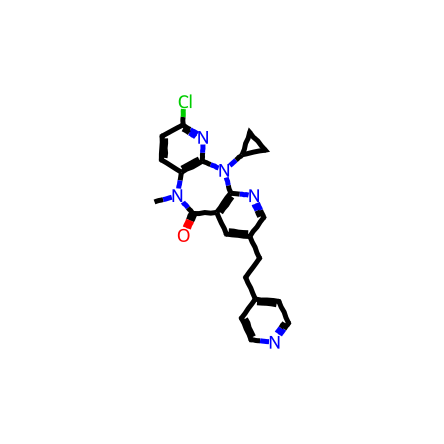 CN1C(=O)c2cc(CCc3ccncc3)cnc2N(C2CC2)c2nc(Cl)ccc21